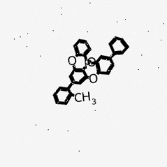 Cc1ccccc1-c1cc2c3c(c1)Oc1ccc(-c4ccccc4)cc1P3(=O)c1ccccc1O2